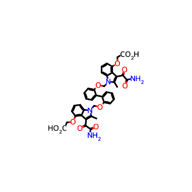 Cc1c(C(=O)C(N)=O)c2c(OCC(=O)O)cccc2n1COc1ccccc1-c1ccccc1OCn1c(C)c(C(=O)C(N)=O)c2c(OCC(=O)O)cccc21